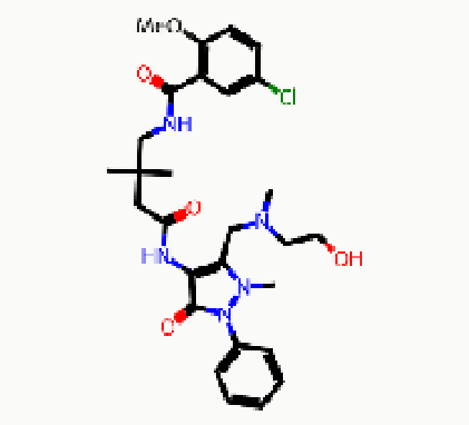 COc1ccc(Cl)cc1C(=O)NCC(C)(C)CC(=O)Nc1c(CN(C)CCO)n(C)n(-c2ccccc2)c1=O